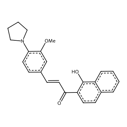 COc1cc(/C=C/C(=O)c2ccc3ccccc3c2O)ccc1N1CCCC1